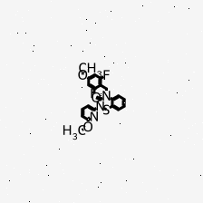 COc1cc(F)c(CN2C(=O)N(c3cccc(OC)n3)Sc3ccccc32)c(F)c1